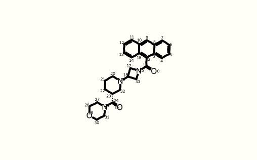 O=C(c1c2ccccc2cc2ccccc12)N1CC(N2CCC[C@@H](C(=O)N3CCOCC3)C2)C1